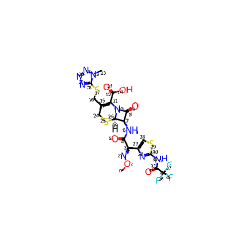 CO/N=C(/C(=O)NC1C(=O)N2C(C(=O)O)=C(CSc3nnnn3C)CS[C@H]12)c1csc(NC(=O)C(F)(F)F)n1